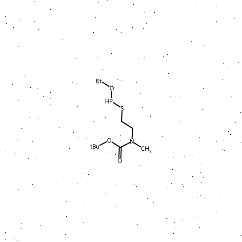 CCOPSCCN(C)C(=O)OC(C)(C)C